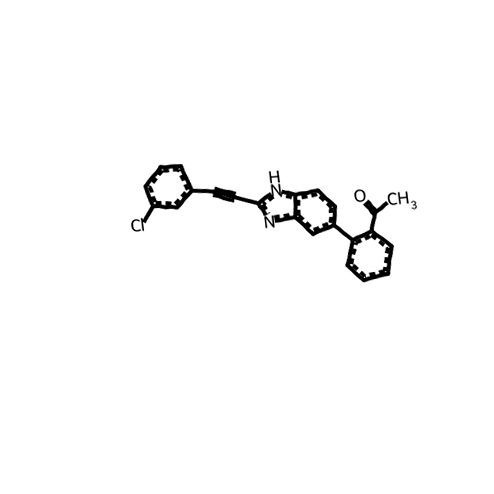 CC(=O)c1ccccc1-c1ccc2[nH]c(C#Cc3cccc(Cl)c3)nc2c1